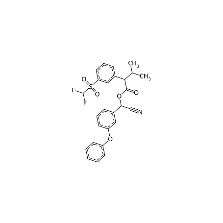 CC(C)C(C(=O)OC(C#N)c1cccc(Oc2ccccc2)c1)c1cccc(S(=O)(=O)C(F)F)c1